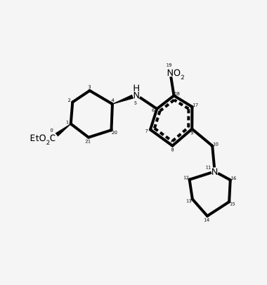 CCOC(=O)[C@H]1CC[C@@H](Nc2ccc(CN3CCCCC3)cc2[N+](=O)[O-])CC1